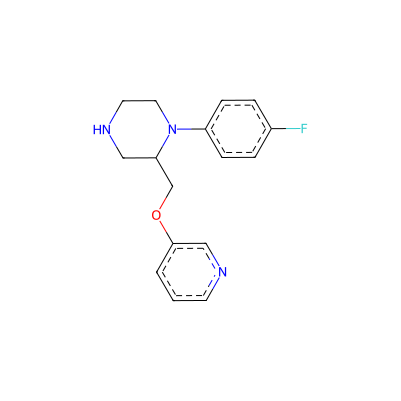 Fc1ccc(N2CCNCC2COc2cccnc2)cc1